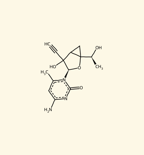 C#CC1(O)C2CC2([C@H](C)O)O[C@H]1n1c(C)cc(N)nc1=O